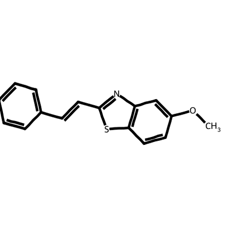 COc1ccc2sc(/C=C/c3ccccc3)nc2c1